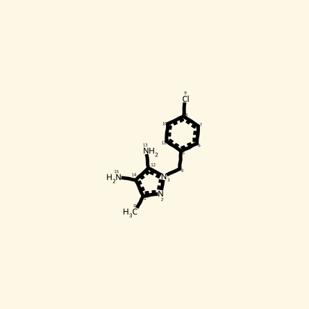 Cc1nn(Cc2ccc(Cl)cc2)c(N)c1N